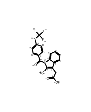 Cc1c(CC(=O)O)c2ccccc2n1C(=O)c1ccc(SC(F)(F)F)cc1